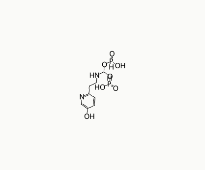 O=[PH](O)OC(NCCc1ccc(O)cn1)O[PH](=O)O